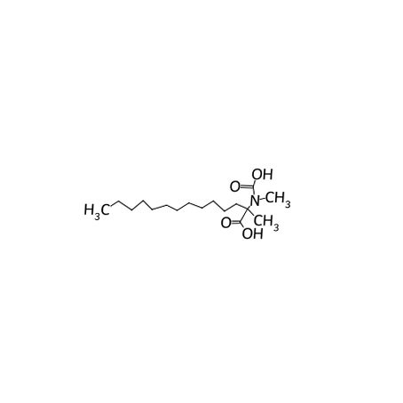 CCCCCCCCCCCCC(C)(C(=O)O)N(C)C(=O)O